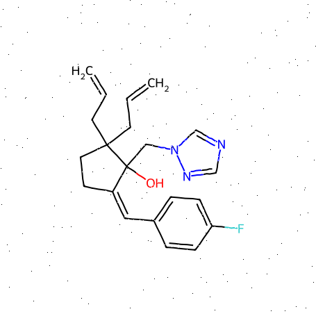 C=CCC1(CC=C)CCC(=Cc2ccc(F)cc2)C1(O)Cn1cncn1